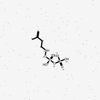 C=C(C)CCNOP(=O)(O)OP(=O)(O)O